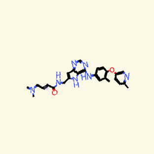 Cc1ccc(Oc2ccc(Nc3ncnc4cc(CNC(=O)/C=C/CN(C)C)[nH]c34)cc2C)cn1